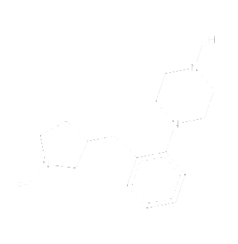 CCN1CCC(Oc2ccccc2N2CCN(C)CC2)C1